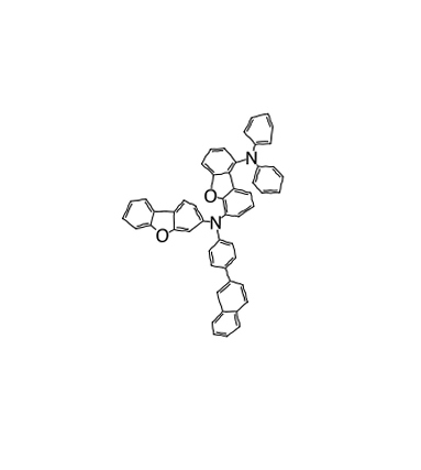 c1ccc(N(c2ccccc2)c2cccc3oc4c(N(c5ccc(-c6ccc7ccccc7c6)cc5)c5ccc6c(c5)oc5ccccc56)cccc4c23)cc1